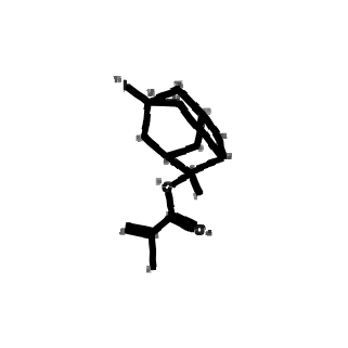 C=C(C)C(=O)OC1(C)C2CC3CC1CC(I)(C3)C2